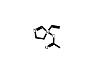 C=C[N+]1(OC(C)=O)C=NCC1